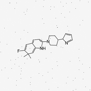 CC1(C)C=C2NC(N3CCC(C4C=CC=N4)CC3)=CC=C2C=C1F